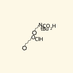 CN(CCCc1ccc(OCCCCCc2ccccc2)cc1)C(C(=O)O)C(C)(C)C.Cl